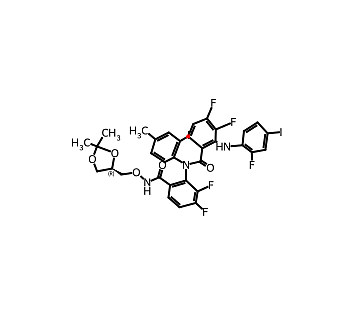 Cc1ccc(N(C(=O)c2ccc(F)c(F)c2Nc2ccc(I)cc2F)c2c(C(=O)NOC[C@H]3COC(C)(C)O3)ccc(F)c2F)c(F)c1